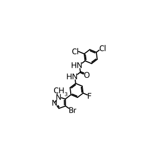 Cn1ncc(Br)c1-c1cc(F)cc(NC(=O)Nc2ccc(Cl)cc2Cl)c1